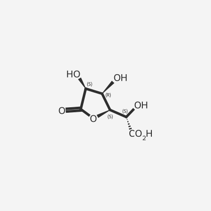 O=C1O[C@H]([C@H](O)C(=O)O)[C@H](O)[C@@H]1O